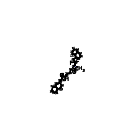 C[N+]([O-])(/C=C/C(F)(F)Cc1cccc2ccccc12)CCCCC(=O)NCc1ccc2ccccc2c1